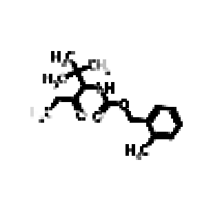 CCC(=O)C(NC(=O)OCc1ccccc1C)C(C)(C)C